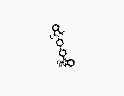 O=C1c2ccccc2C(=O)N1C1CCC(N2CCC(n3c(=O)[nH]c4ccccc43)CC2)CC1